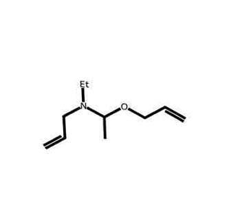 C=CCOC(C)N(CC)CC=C